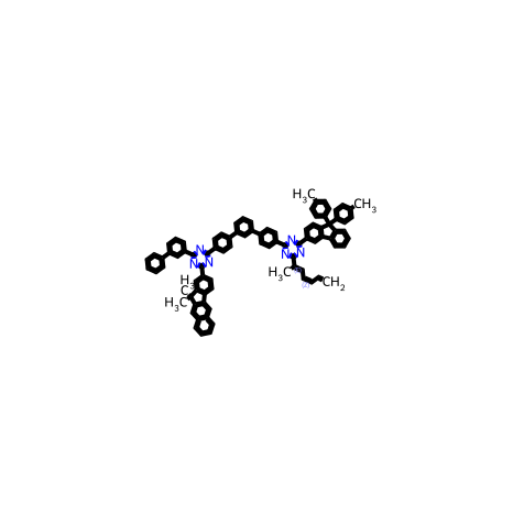 C=C/C=C\C=C(/C)c1nc(-c2ccc(-c3cccc(-c4ccc(-c5nc(-c6cccc(-c7ccccc7)c6)nc(-c6ccc7c(c6)C(C)(C)c6cc8ccccc8cc6-7)n5)cc4)c3)cc2)nc(-c2ccc3c(c2)-c2ccccc2C3(c2ccc(C)cc2)c2ccc(C)cc2)n1